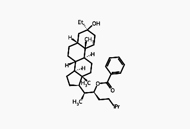 CC[C@]1(O)CC[C@@]2(C)[C@H](CC[C@@H]3[C@@H]2CC[C@]2(C)[C@@H]([C@H](C)[C@H](CCC(C)C)OC(=O)c4ccccc4)CC[C@@H]32)C1